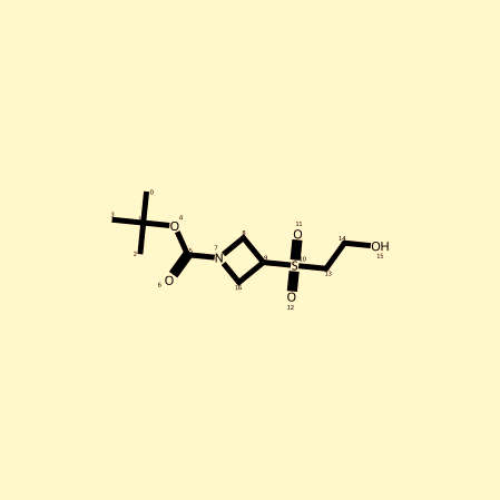 CC(C)(C)OC(=O)N1CC(S(=O)(=O)CCO)C1